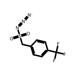 [N-]=[N+]=NS(=O)(=O)Cc1ccc(C(F)(F)F)cc1